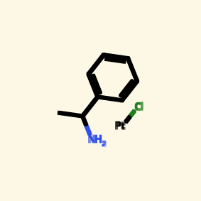 CC(N)c1ccccc1.[Cl][Pt]